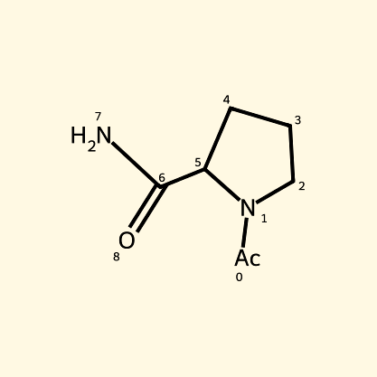 CC(=O)N1CCCC1C(N)=O